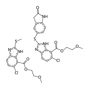 COCCOC(=O)c1c(Cl)ccc2nc(SC)[nH]c12.COCCOC(=O)c1c(Cl)ccc2nc(Sc3ccc4c(c3)CC(=O)N4)[nH]c12